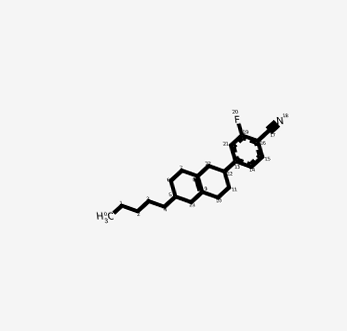 CCCCCC1CCC2=C(CCC(c3ccc(C#N)c(F)c3)C2)C1